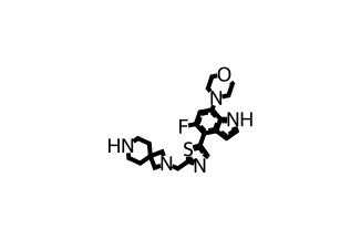 Fc1cc(N2CCOCC2)c2[nH]ccc2c1-c1cnc(CN2CC3(CCNCC3)C2)s1